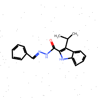 CC(C)c1c(C(=O)NN=Cc2ccccc2)[nH]c2ccccc12